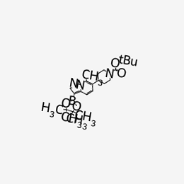 Cc1c(C2CCN(C(=O)OC(C)(C)C)CC2)ccc2c(B3OC(C)(C)C(C)(C)O3)cnn12